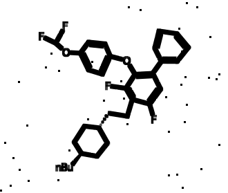 CCCC[C@H]1CC[C@H](CCc2c(F)cc(-c3ccccc3)c(Oc3ccc(OC(F)F)cc3)c2F)CC1